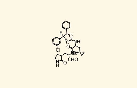 CCC1(C[C@H](NC(=O)OC(c2ccccc2)C(F)(F)c2cccc(Cl)c2)C(=O)N[C@H](C=O)C[C@@H]2CCNC2=O)CC1